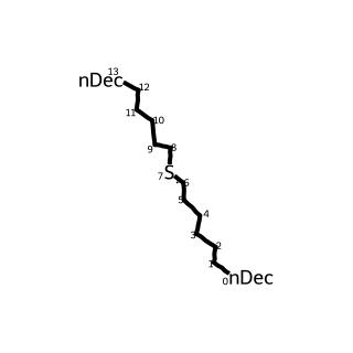 CCCCCCCCCCCCCCC[CH]SCCCCCCCCCCCCCCC